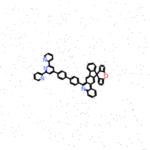 c1ccc(-c2cc(-c3ccc(-c4ccc(-c5nc6ccccc6c6cc7c(cc56)-c5ccccc5C75c6ccccc6Oc6ccccc65)cc4)cc3)cc(-c3ccccn3)n2)nc1